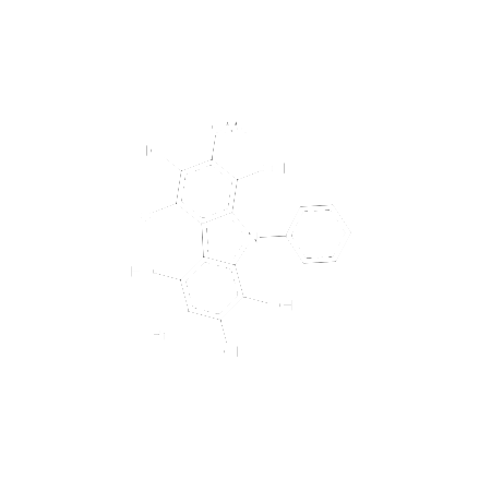 COc1c(O)c(O)c2c3c(O)c(Br)c(O)c(O)c3n(-c3ccccc3)c2c1O